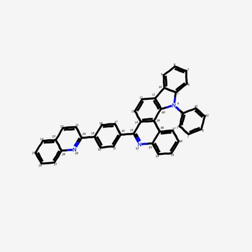 c1ccc(-n2c3ccccc3c3ccc4c(-c5ccc(-c6ccc7ccccc7n6)cc5)nc5ccccc5c4c32)cc1